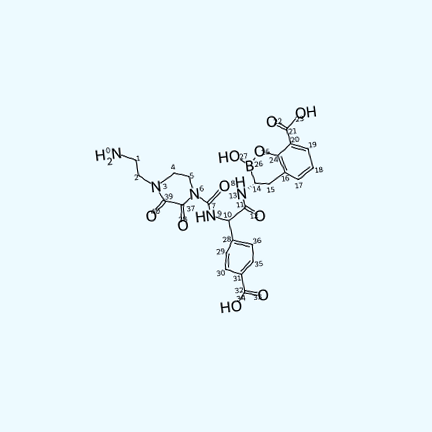 NCCN1CCN(C(=O)NC(C(=O)N[C@H]2Cc3cccc(C(=O)O)c3OB2O)c2ccc(C(=O)O)cc2)C(=O)C1=O